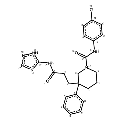 O=C(CCC1(c2ccccc2)CCCN(C(=O)Nc2ccc(Cl)cc2)C1)Nc1nnn[nH]1